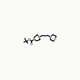 CC(C)(C)OC(=O)N1CCN(CCCN2CCOCC2)CC1